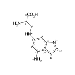 Nc1cc(NC[C@H](N)C(=O)O)cc2nonc12